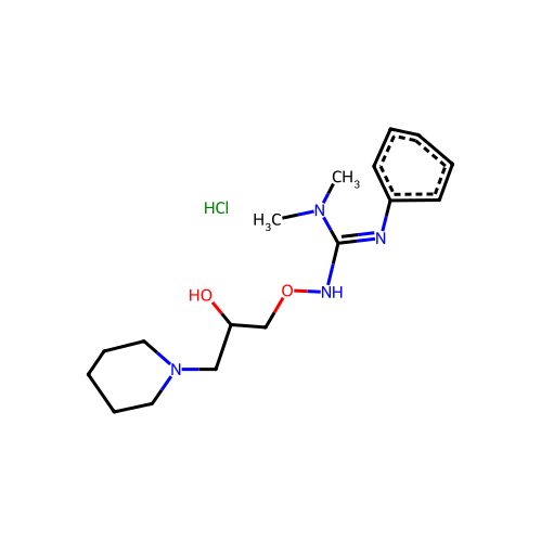 CN(C)/C(=N\c1ccccc1)NOCC(O)CN1CCCCC1.Cl